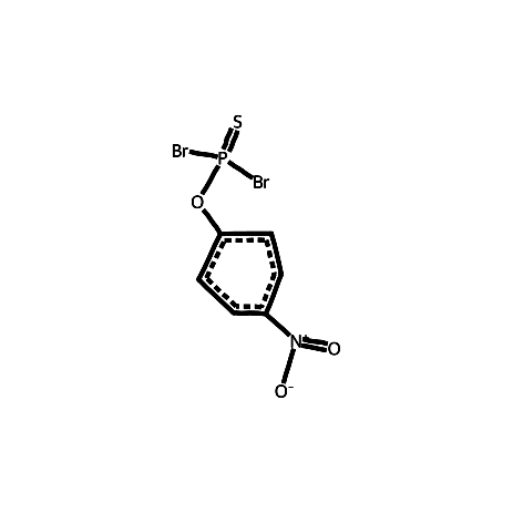 O=[N+]([O-])c1ccc(OP(=S)(Br)Br)cc1